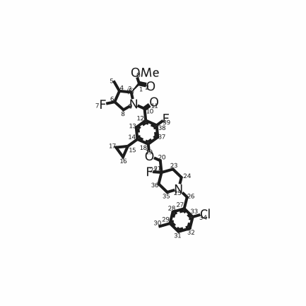 COC(=O)[C@@H]1C(C)C(F)CN1C(=O)c1cc(C2CC2)c(OCC2(F)CCN(Cc3cc(C)ccc3Cl)CC2)cc1F